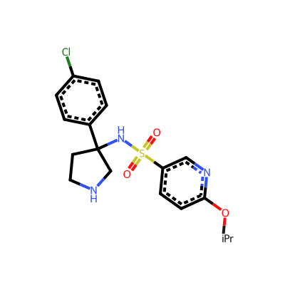 CC(C)Oc1ccc(S(=O)(=O)NC2(c3ccc(Cl)cc3)CCNC2)cn1